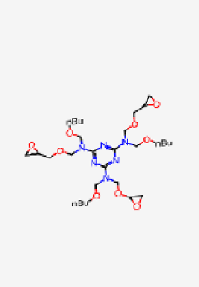 CCCCOCN(COCC1CO1)c1nc(N(COCCCC)COCC2CO2)nc(N(COCCCC)COC2CO2)n1